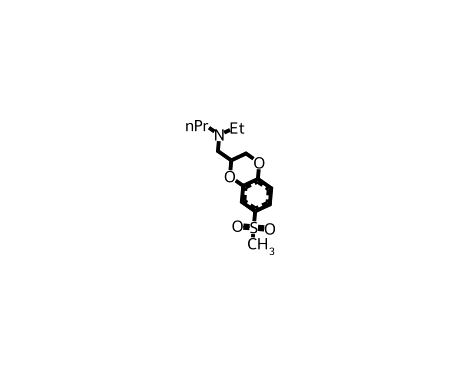 CCCN(CC)CC1COc2ccc(S(C)(=O)=O)cc2O1